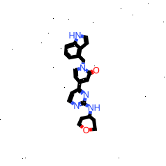 O=c1cc(-c2ccnc(NC3CCOCC3)n2)ccn1Cc1cccc2[nH]ccc12